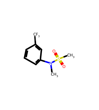 CN(c1cccc(C(F)(F)F)c1)S(C)(=O)=O